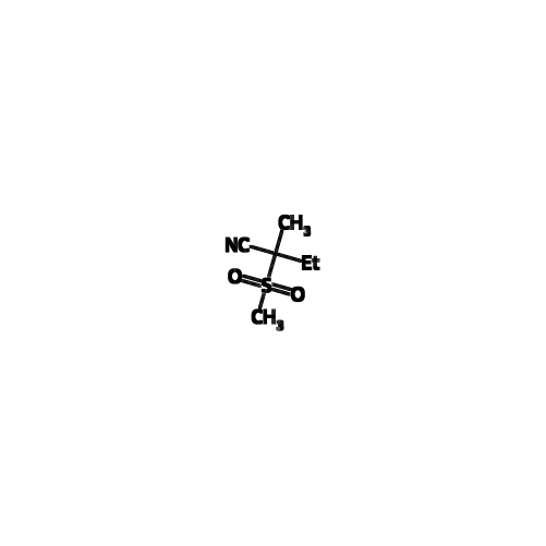 CCC(C)(C#N)S(C)(=O)=O